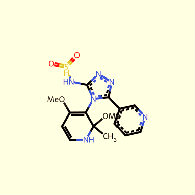 COC1=C(n2c(N[SH](=O)=O)nnc2-c2cccnc2)C(C)(OC)NC=C1